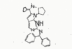 CN(C)C(=O)C1=CC2=CN=C(N=C(c3ccccc3)c3ccccc3)NC2N1C1CCCC1